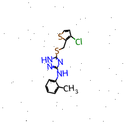 Cc1ccccc1Nc1n[nH]c(SCc2sccc2Cl)n1